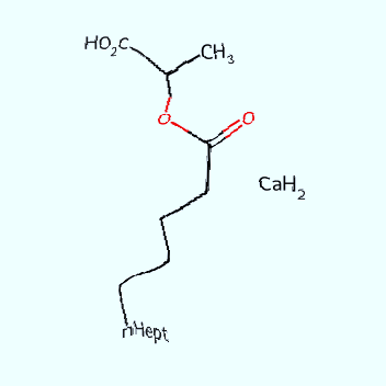 CCCCCCCCCCCC(=O)OC(C)C(=O)O.[CaH2]